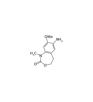 COc1cc2c(cc1N)CCOC(=O)N2C